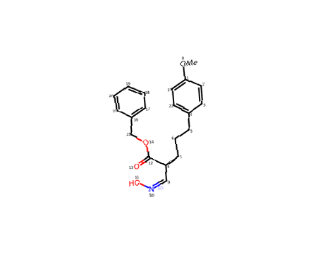 COc1ccc(CCCC(/C=N\O)C(=O)OCc2ccccc2)cc1